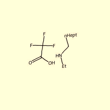 CCCCCCCCNCC.O=C(O)C(F)(F)F